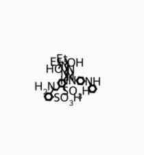 CCC(O)N(C1=NCN(Nc2ccc(Nc3ccccc3)cc2)C(c2ccc(C=C(N)c3ccccc3S(=O)(=O)O)c(S(=O)(=O)O)c2)=N1)C(O)CC